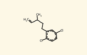 C=CC(C)CCc1cc(Cl)ccc1Cl